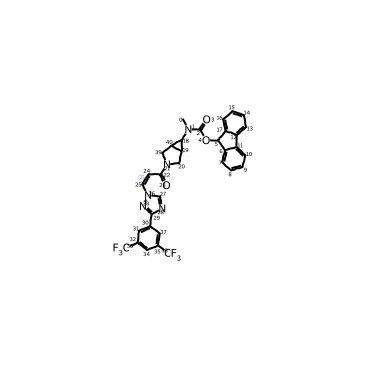 CN(C(=O)OC1c2ccccc2-c2ccccc21)C1C2CN(C(=O)/C=C\n3cnc(-c4cc(C(F)(F)F)cc(C(F)(F)F)c4)n3)CC21